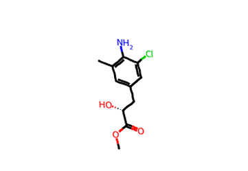 COC(=O)[C@H](O)Cc1cc(C)c(N)c(Cl)c1